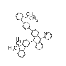 CC1(C)c2ccccc2-c2cc(-c3c4ccccc4c(-c4ccccn4)c4ccc(-c5ccc6c(c5)C(C)(C)c5ccccc5-6)cc34)ccc21